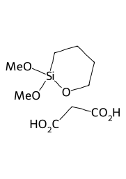 CO[Si]1(OC)CCCCO1.O=C(O)CC(=O)O